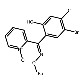 CC(C)(C)ON=C(c1cc(Br)c(Cl)cc1O)c1cccc[n+]1[O-]